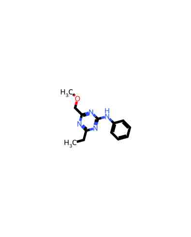 CCc1nc(COC)nc(Nc2ccccc2)n1